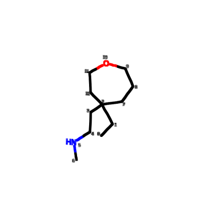 CCC1(CCNC)CCCOCC1